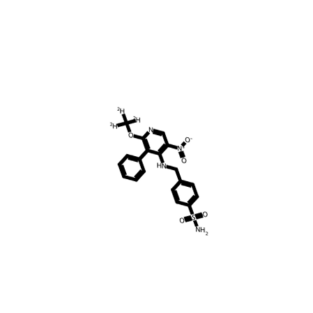 [2H]C([2H])([2H])Oc1ncc([N+](=O)[O-])c(NCc2ccc(S(N)(=O)=O)cc2)c1-c1ccccc1